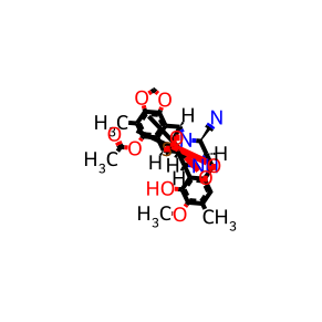 COc1c(C)cc2c(c1O)[C@H]1N[C@H](C2)[C@H](C#N)N2[C@H]1[C@@H]1SCC(=O)C(=O)OC[C@H]2c2c3c(c(C)c(OC(C)=O)c21)OCO3